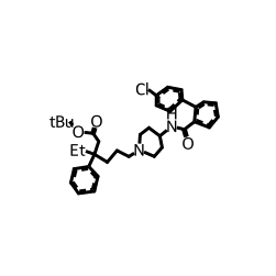 CCC(CCCN1CCC(NC(=O)c2ccccc2-c2ccc(Cl)cc2)CC1)(CC(=O)OC(C)(C)C)c1ccccc1